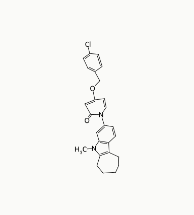 Cn1c2c(c3ccc(-n4ccc(OCc5ccc(Cl)cc5)cc4=O)cc31)CCCCC2